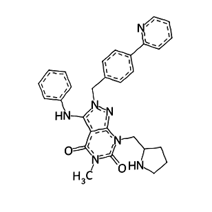 Cn1c(=O)c2c(Nc3ccccc3)n(Cc3ccc(-c4ccccn4)cc3)nc2n(CC2CCCN2)c1=O